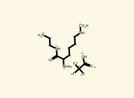 CC(=O)NC(CCCCNC(=O)O)C(=O)NCCN.O=C(O)C(F)(F)F